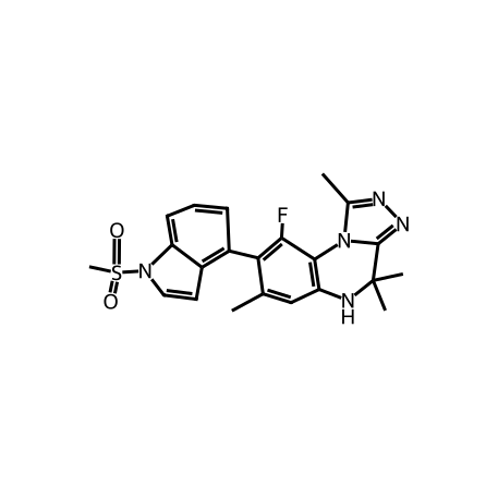 Cc1cc2c(c(F)c1-c1cccc3c1ccn3S(C)(=O)=O)-n1c(C)nnc1C(C)(C)N2